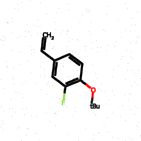 C=Cc1ccc(OC(C)(C)C)c(F)c1